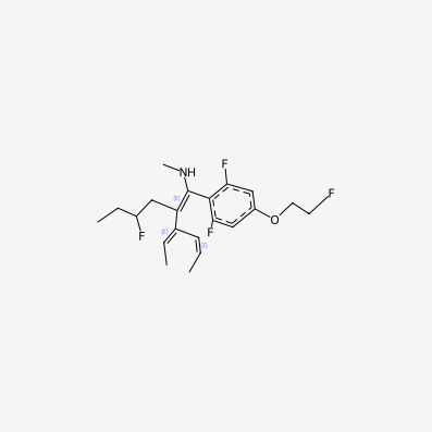 C\C=C/C(=C\C)C(/CC(F)CC)=C(/NC)c1c(F)cc(OCCF)cc1F